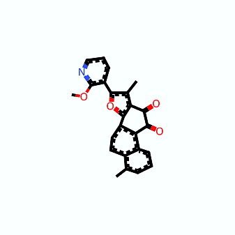 COc1ncccc1-c1oc2c(c1C)C(=O)C(=O)c1c-2ccc2c(C)cccc12